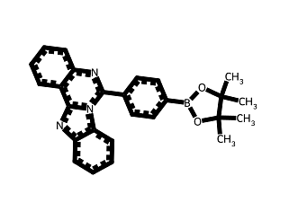 CC1(C)OB(c2ccc(-c3nc4ccccc4c4nc5ccccc5n34)cc2)OC1(C)C